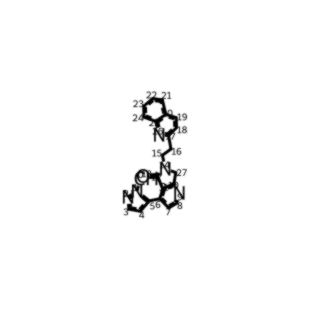 Cn1nccc1-c1ccnc2c1C(=O)N(CCc1ccc3ccccc3n1)C2